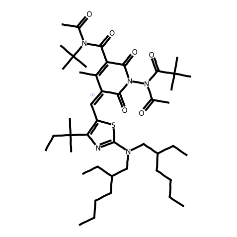 CCCCC(CC)CN(CC(CC)CCCC)c1nc(C(C)(C)CC)c(/C=C2\C(=O)N(N(C(C)=O)C(=O)C(C)(C)C)C(=O)C(C(=O)N(C(C)=O)C(C)(C)C)=C2C)s1